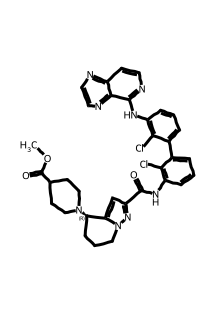 COC(=O)C1CCN([C@@H]2CCCn3nc(C(=O)Nc4cccc(-c5cccc(Nc6nccc7nccnc67)c5Cl)c4Cl)cc32)CC1